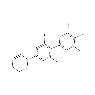 Cc1cc(-c2c(F)cc(C3C=CCCC3)cc2F)cc(F)c1C